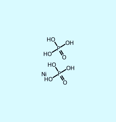 O=P(O)(O)O.O=P(O)(O)O.[Ni]